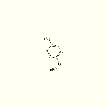 [CH2]CCCOc1ccc(C(C)(C)C)cc1